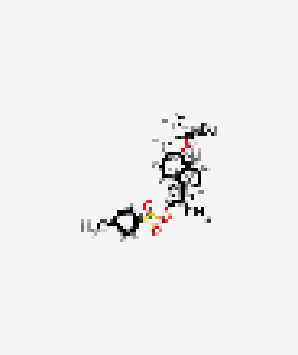 Cc1ccc(S(=O)(=O)OC[C@@H](C)[C@H]2CC[C@H]3C(O[Si](C)(C)C(C)(C)C)CCC[C@]23C)cc1